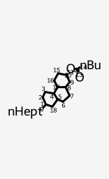 CCCCCCCC1CCC2C(CCC3CC(OC(=O)CCCC)CCC32)C1